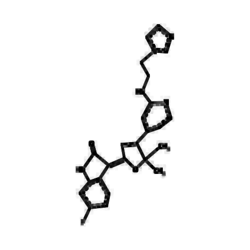 CC1(C)O/C(=C2/C(=O)Nc3cc(F)ccc32)C=C1c1ccnc(NCCn2ccnc2)c1